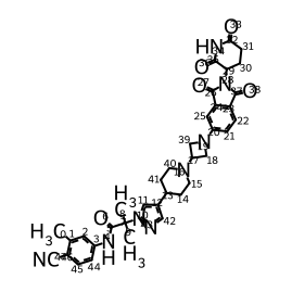 Cc1cc(NC(=O)C(C)(C)n2cc(C3CCN(C4CN(c5ccc6c(c5)C(=O)N(C5CCC(=O)NC5=O)C6=O)C4)CC3)cn2)ccc1C#N